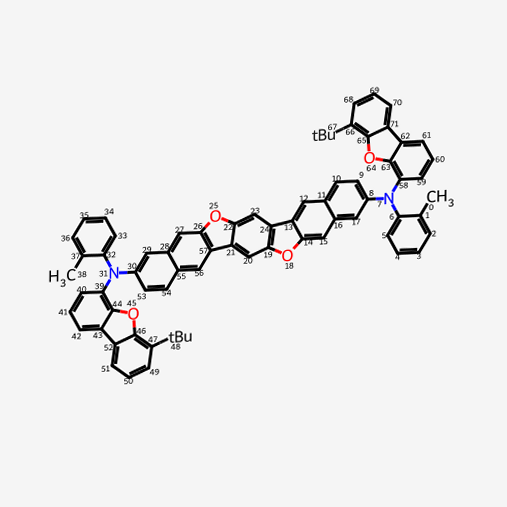 Cc1ccccc1N(c1ccc2cc3c(cc2c1)oc1cc2c(cc13)oc1cc3cc(N(c4ccccc4C)c4cccc5c4oc4c(C(C)(C)C)cccc45)ccc3cc12)c1cccc2c1oc1c(C(C)(C)C)cccc12